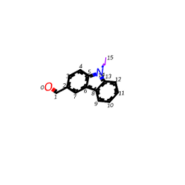 O=Cc1ccc2c(c1)c1ccccc1n2I